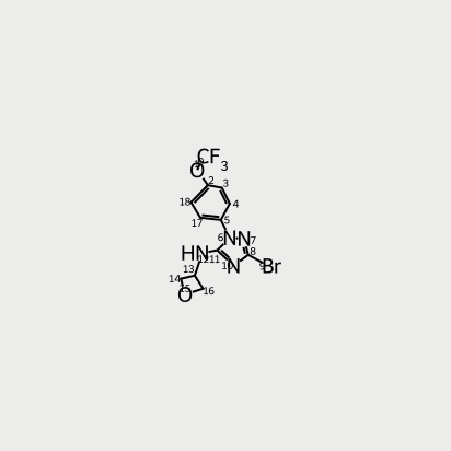 FC(F)(F)Oc1ccc(-n2nc(Br)nc2NC2COC2)cc1